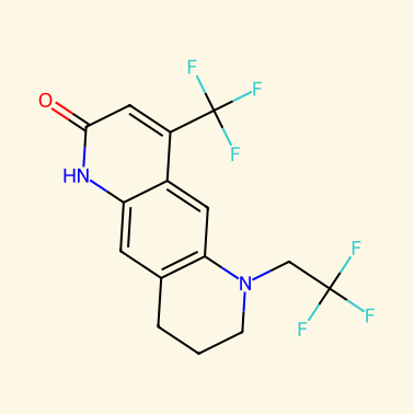 O=c1cc(C(F)(F)F)c2cc3c(cc2[nH]1)CCCN3CC(F)(F)F